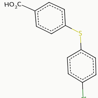 O=C(O)c1ccc(Sc2ccc(Cl)cc2)cc1